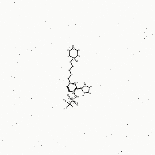 C[N+]1(CCCCCc2ccc(OS(=O)(=O)C(F)(F)F)c(C3OCCO3)n2)CCOCC1